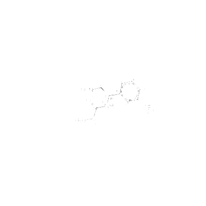 CC(C)(C)OC(=O)N[C@@H](CN)c1cccc(C(F)(F)F)c1